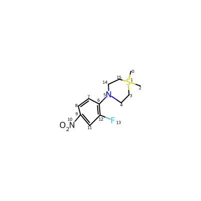 CS1(C)CCN(c2ccc([N+](=O)[O-])cc2F)CC1